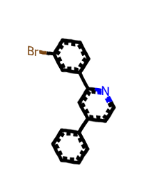 Brc1cccc(-c2cc(-c3ccccc3)ccn2)c1